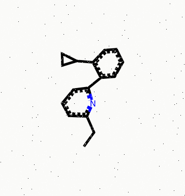 CCc1cccc(-c2ccccc2C2CC2)n1